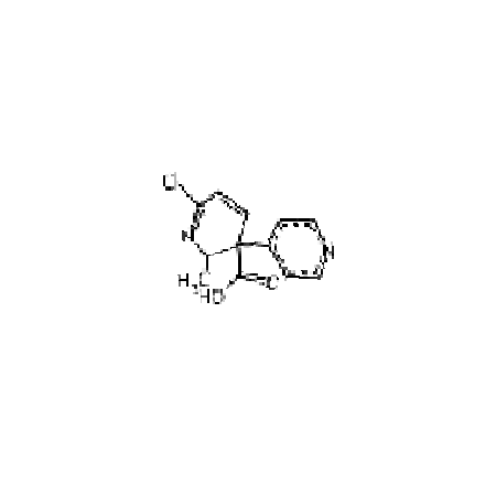 CC1N=C(Cl)C=CC1(C(=O)O)c1ccncc1